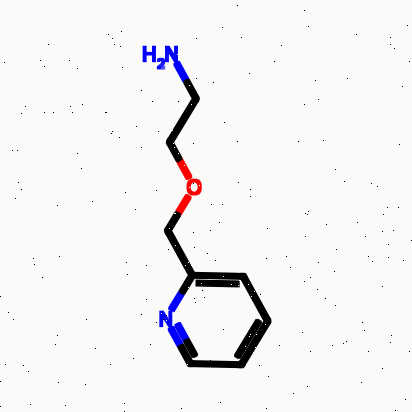 NCCOCc1ccccn1